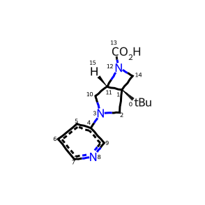 CC(C)(C)[C@@]12CN(c3cccnc3)C[C@@H]1N(C(=O)O)C2